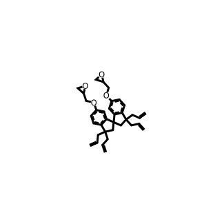 C=CCC1(CC=C)CC2(CC(CC=C)(CC=C)c3ccc(OCC4CO4)cc32)c2cc(OCC3CO3)ccc21